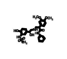 COc1ccc(C(CNC[C@H](O)c2ccc(O)c(NS(C)(=O)=O)c2)C(=O)Nc2ccccc2)cc1OC